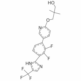 CC(C)(CO)COc1ccc(-c2ccc(-c3ncc(C(F)(F)F)[nH]3)c(F)c2F)cn1